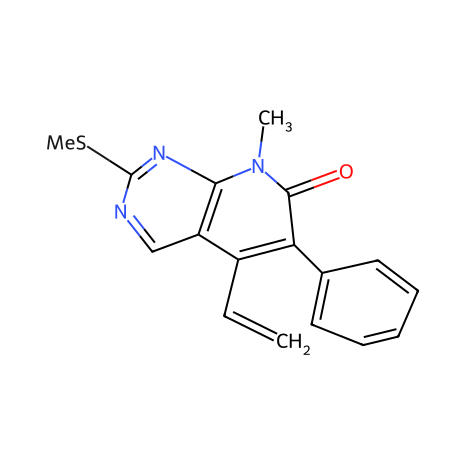 C=Cc1c(-c2ccccc2)c(=O)n(C)c2nc(SC)ncc12